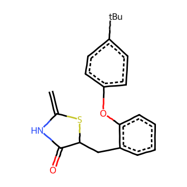 C=C1NC(=O)C(Cc2ccccc2Oc2ccc(C(C)(C)C)cc2)S1